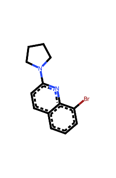 Brc1cccc2ccc(N3CCCC3)nc12